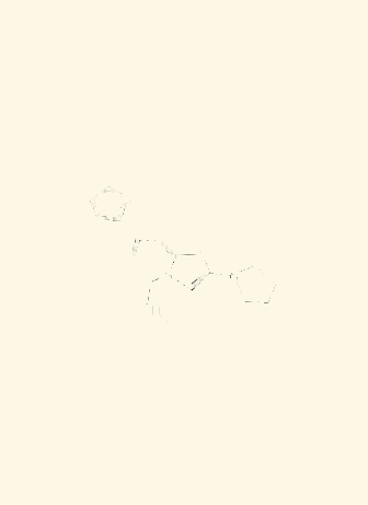 CCN1C=C(N2CCCC2)S/C1=C/C(=O)c1cccs1